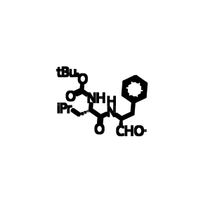 CC(C)C[C@H](NC(=O)OC(C)(C)C)C(=O)N[C@H]([C]=O)Cc1ccccc1